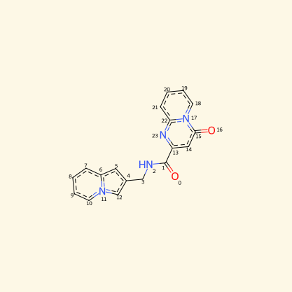 O=C(NCc1cc2ccccn2c1)c1cc(=O)n2ccccc2n1